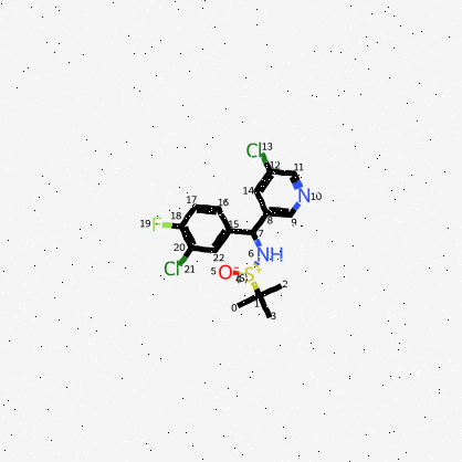 CC(C)(C)[S@@+]([O-])NC(c1cncc(Cl)c1)c1ccc(F)c(Cl)c1